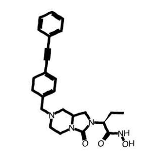 CC[C@@H](C(=O)NO)N1CC2CN(CC3=CC=C(C#Cc4ccccc4)CC3)CCN2C1=O